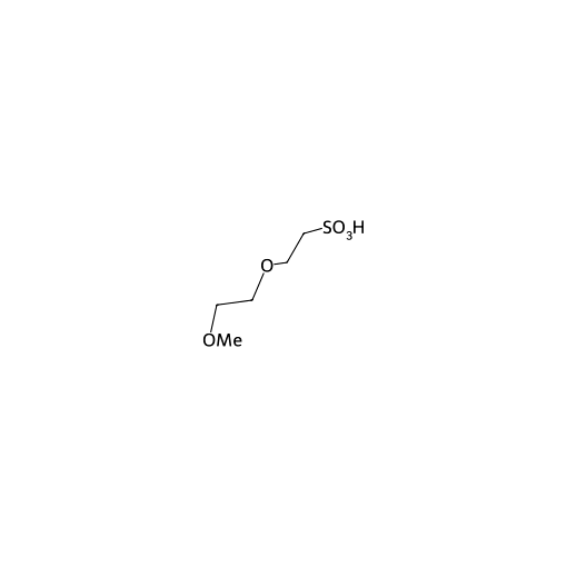 COCCOCCS(=O)(=O)O